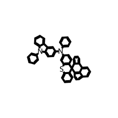 c1ccc(N(c2ccc3c(c2)Sc2ccccc2C32c3ccccc3-c3cccc4cccc2c34)c2ccc3c(c2)c2ccccc2n3-c2ccccc2)cc1